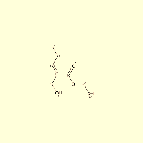 CCC=C(CO)C(=O)OCO